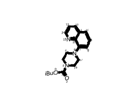 CC(C)COC(=O)N1CCN(c2cccc3cccnc23)CC1